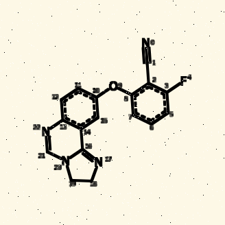 N#Cc1c(F)cccc1Oc1ccc2c(c1)C1=NCCN1C=N2